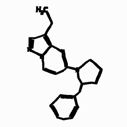 CCc1cnn2ccc(N3CCCC3c3ccccc3)nc12